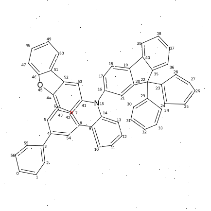 c1ccc(-c2cccc(-c3ccccc3N(c3ccc4c(c3)C(c3ccccc3)(c3ccccc3)c3ccccc3-4)c3ccc4oc5ccccc5c4c3)c2)cc1